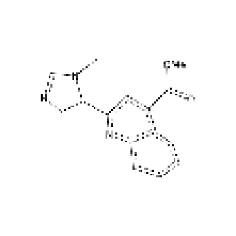 COC(=O)c1cc(C2CN=CN2C)nc2ccccc12